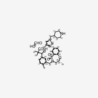 Cc1ccc(C(OCc2cn(CC3CCNCC3)nn2)C(C)(C)C(=O)O)cc1CN1C[C@@H](C)Oc2ccccc2S1(=O)=O.O=CO